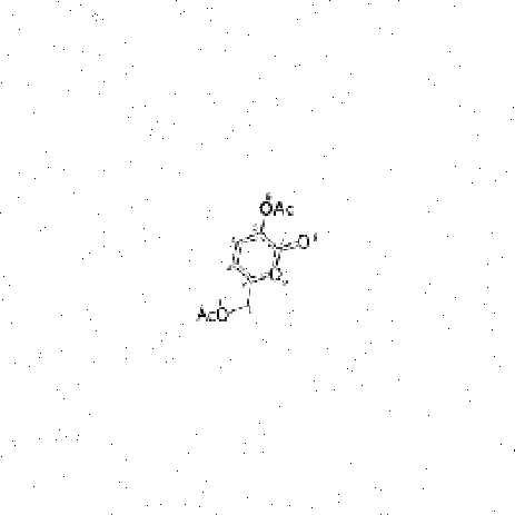 CC(=O)OCc1ccc(OC(C)=O)c(=O)o1